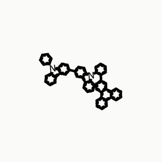 c1ccc(-n2c3ccccc3c3cc(-c4ccc5c(c4)c4ccccc4n5-c4ccccc4-c4ccc5c6ccccc6c6ccccc6c5c4)ccc32)cc1